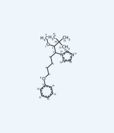 COC(C(CCCCOc1ccccc1)n1cncn1)C(C)(C)C